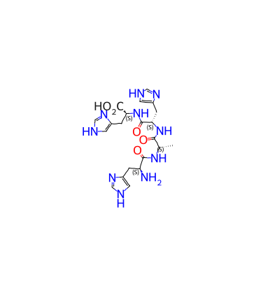 C[C@H](NC(=O)[C@@H](N)Cc1c[nH]cn1)C(=O)N[C@@H](Cc1c[nH]cn1)C(=O)N[C@@H](Cc1c[nH]cn1)C(=O)O